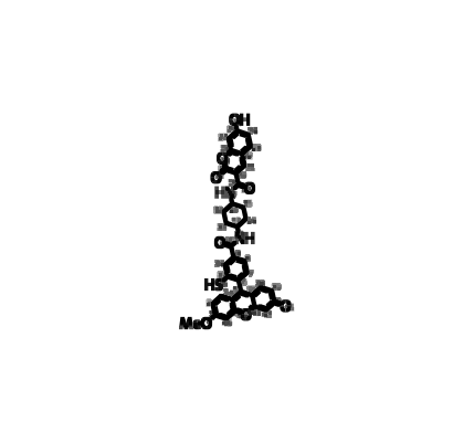 COc1ccc2c(-c3ccc(C(=O)NC4CCC(NC(=O)c5cc6ccc(O)cc6oc5=O)CC4)cc3S)c3ccc(=O)cc-3oc2c1